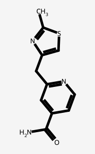 Cc1nc(Cc2cc(C(N)=O)ccn2)cs1